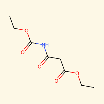 CCOC(=O)CC(=O)NC(=O)OCC